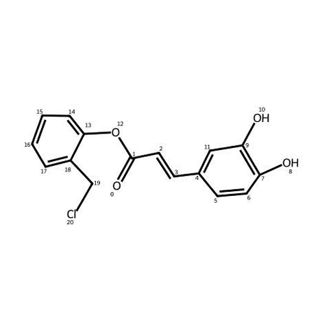 O=C(C=Cc1ccc(O)c(O)c1)Oc1ccccc1CCl